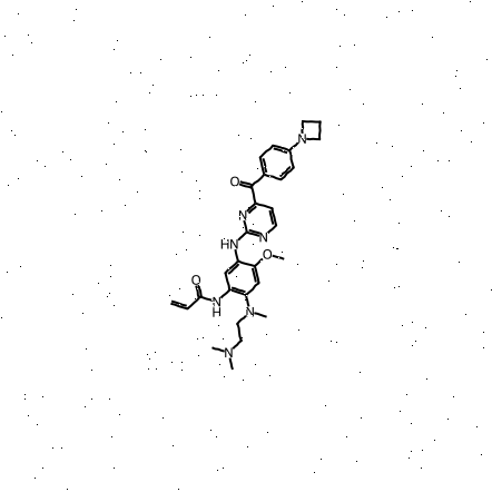 C=CC(=O)Nc1cc(Nc2nccc(C(=O)c3ccc(N4CCC4)cc3)n2)c(OC)cc1N(C)CCN(C)C